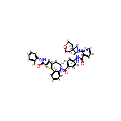 Cc1ccccc1NC(=O)c1cc2c(s1)-c1ccccc1N(C(=O)c1ccc(NC(=O)c3cccnc3N3CC4(CCOCC4)C3)cc1)CC2